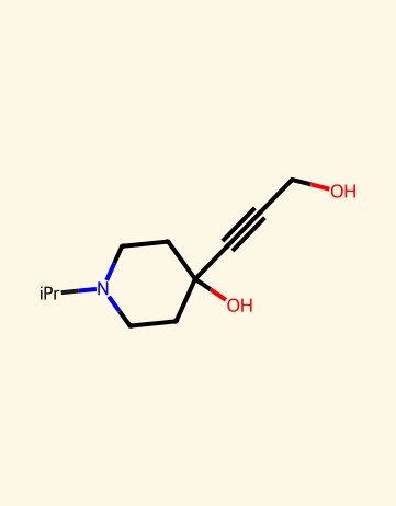 CC(C)N1CCC(O)(C#CCO)CC1